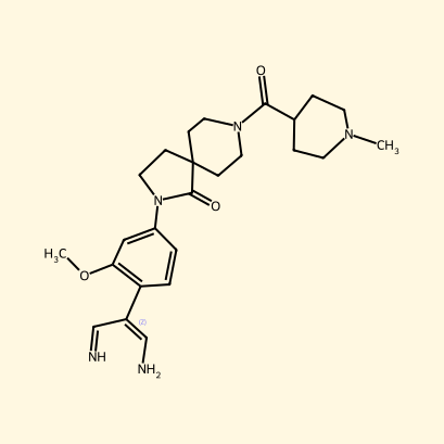 COc1cc(N2CCC3(CCN(C(=O)C4CCN(C)CC4)CC3)C2=O)ccc1/C(C=N)=C/N